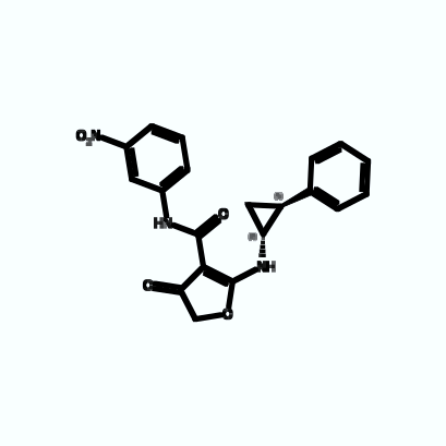 O=C1COC(N[C@@H]2C[C@H]2c2ccccc2)=C1C(=O)Nc1cccc([N+](=O)[O-])c1